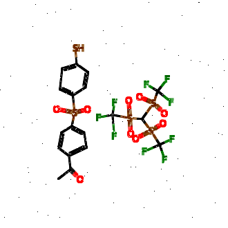 CC(=O)c1ccc(S(=O)(=O)c2ccc(S)cc2)cc1.O=S(=O)(C(S(=O)(=O)C(F)(F)F)S(=O)(=O)C(F)(F)F)C(F)(F)F